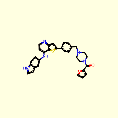 O=C(c1ccco1)N1CCN(Cc2ccc(-c3cc4nccc(Nc5ccc6[nH]ccc6c5)c4s3)cc2)CC1